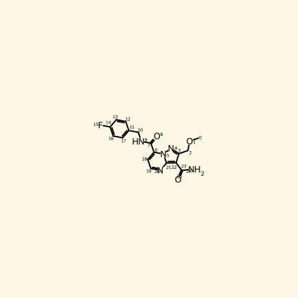 COCc1nn2c(C(=O)NCc3ccc(F)cc3)ccnc2c1C(N)=O